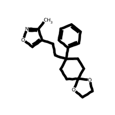 Cc1nocc1CCC1(c2ccccc2)CCC2(CC1)OCCO2